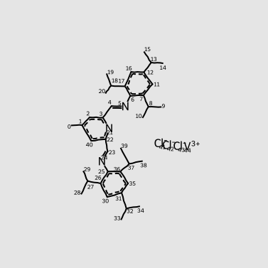 Cc1cc(C=Nc2c(C(C)C)cc(C(C)C)cc2C(C)C)nc(C=Nc2c(C(C)C)cc(C(C)C)cc2C(C)C)c1.[Cl-].[Cl-].[Cl-].[V+3]